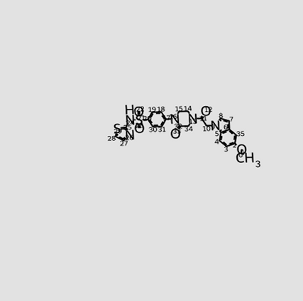 COc1ccc2c(ccn2CC(=O)N2CCN(c3ccc(S(=O)(=O)Nc4nccs4)cc3)C(=O)C2)c1